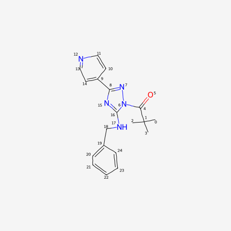 CC(C)(C)C(=O)n1nc(-c2ccncc2)nc1NCc1ccccc1